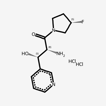 Cl.Cl.N[C@@H](C(=O)N1CC[C@H](F)C1)[C@@H](O)c1cccnc1